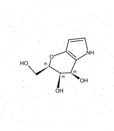 OC[C@H]1Oc2cc[nH]c2[C@@H](O)[C@H]1O